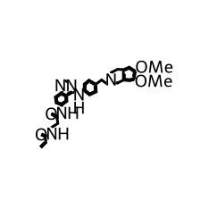 C=CC(=O)NCCC(=O)Nc1ccc2ncnc(Nc3ccc(CCN4CCc5cc(OC)c(OC)cc5C4)cc3)c2c1